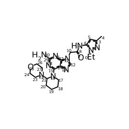 CCn1nc(C)cc1NC(=O)Cn1cnc2c(N3CCCCC3N3CCOCC3)nc(N)nc21